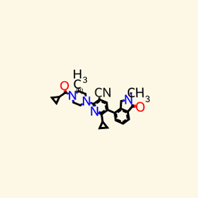 C[C@@H]1CN(c2nc(C3CC3)c(-c3cccc4c3CN(C)C4=O)cc2C#N)CCN1C(=O)C1CC1